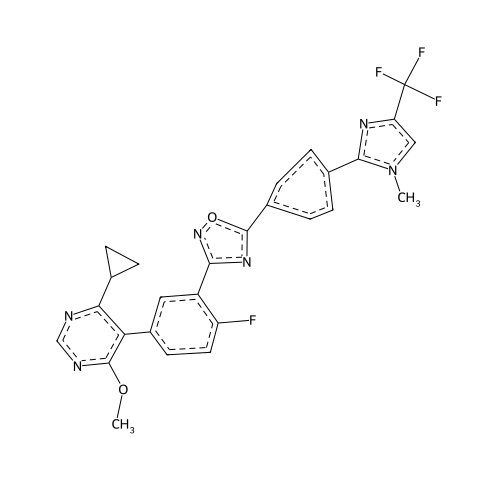 COc1ncnc(C2CC2)c1-c1ccc(F)c(-c2noc(-c3ccc(-c4nc(C(F)(F)F)cn4C)cc3)n2)c1